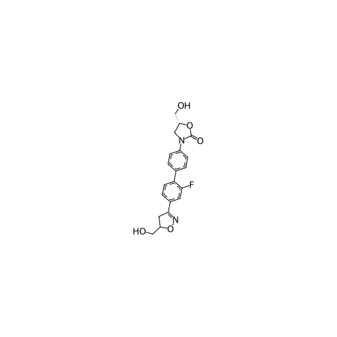 O=C1O[C@@H](CO)CN1c1ccc(-c2ccc(C3=NOC(CO)C3)cc2F)cc1